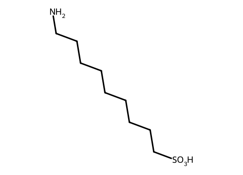 NCCCCCCCCCS(=O)(=O)O